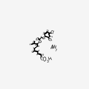 C=C(C)C(CCC(C)=CC=CC(=O)O)OC(=O)COc1ccc(Cl)cc1Cl.N